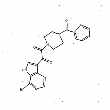 C[C@@H]1CN(C(=O)c2ccccn2)CCN1C(=O)C(=O)c1c[nH]c2c(Br)nccc12